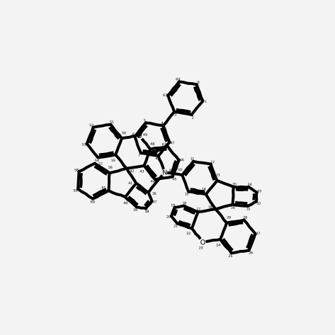 c1ccc(-c2cccc(N(c3ccc4c(c3)C3(c5ccccc5Oc5ccccc53)c3ccccc3-4)c3cccc4c3C3(c5ccccc5Oc5ccccc53)c3ccccc3-4)c2)cc1